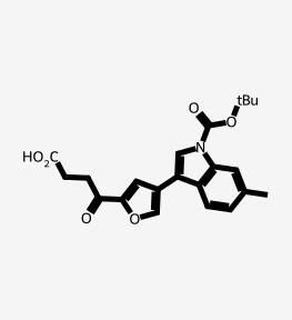 Cc1ccc2c(-c3coc(C(=O)CCC(=O)O)c3)cn(C(=O)OC(C)(C)C)c2c1